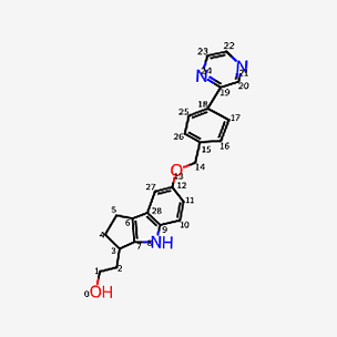 OCCC1CCc2c1[nH]c1ccc(OCc3ccc(-c4cnccn4)cc3)cc21